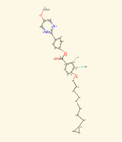 CCCCCCCCOc1cnc(-c2ccc(OC(=O)c3ccc(OCCCCCCCCC4CC4)c(F)c3F)cc2)nc1